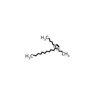 CCCCCCCCCCCC1N(CCC)C=CN1CCCCC